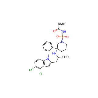 CNC(=O)NS(=O)(=O)N1CCCC(NC(C=O)Cc2cc3c(Cl)c(Cl)ccc3n2C)(c2ccccc2)C1